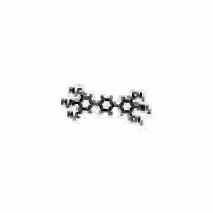 Cc1cc(-c2ccc(-c3cc(C)c(N)c(C)c3)cc2)cc(C)c1N